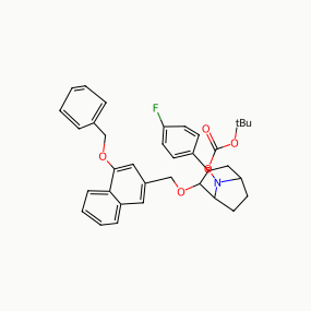 CC(C)(C)OC(=O)ON1C2CCC1C(OCc1cc(OCc3ccccc3)c3ccccc3c1)C(c1ccc(F)cc1)C2